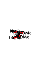 COC(=O)C[C@H]1C(=O)N(CC(=O)OC(C)(C)C)CCN1C(=O)C(Cc1ccc(OC)cc1)NC(=O)c1ccc(-c2ccncc2)cc1